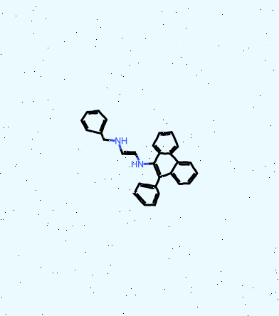 C(=CNc1c(-c2ccccc2)c2ccccc2c2ccccc12)NCc1ccccc1